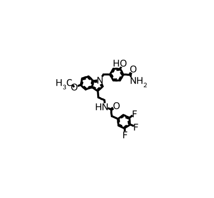 COc1ccc2c(c1)c(CCNC(=O)Cc1cc(F)c(F)c(F)c1)cn2Cc1ccc(C(N)=O)c(O)c1